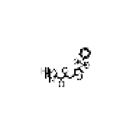 O=C(Cc1cc(S(=O)(=O)c2ccccc2)co1)C(=O)c1nn[nH]n1